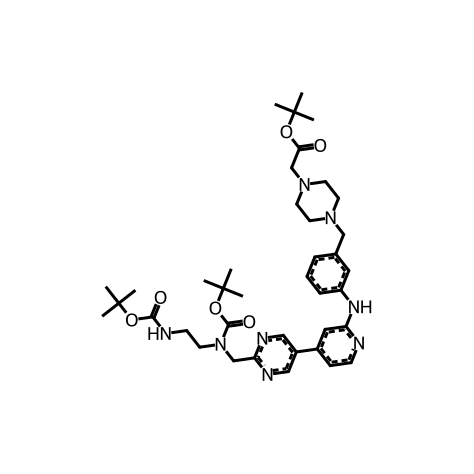 CC(C)(C)OC(=O)CN1CCN(Cc2cccc(Nc3cc(-c4cnc(CN(CCNC(=O)OC(C)(C)C)C(=O)OC(C)(C)C)nc4)ccn3)c2)CC1